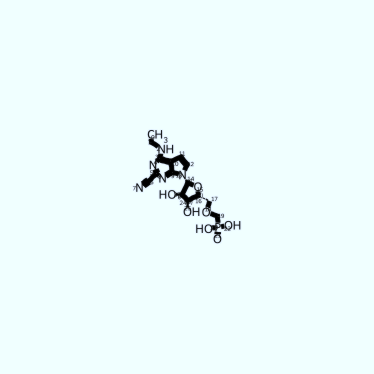 CCNc1nc(C#N)nc2c1ccn2[C@@H]1O[C@H](COCP(=O)(O)O)[C@@H](O)[C@H]1O